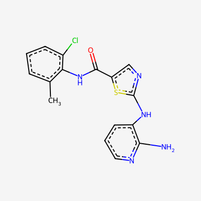 Cc1cccc(Cl)c1NC(=O)c1cnc(Nc2cccnc2N)s1